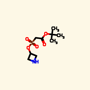 CC(C)(C)OC(=O)CS(=O)(=O)OC1CNC1